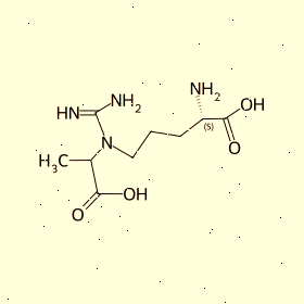 CC(C(=O)O)N(CCC[C@H](N)C(=O)O)C(=N)N